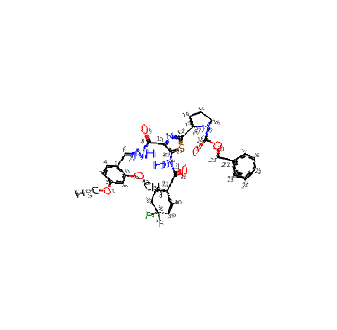 COc1ccc(CNC(=O)c2nc([C@H]3CCCN3C(=O)OCc3ccccc3)sc2NC(=O)C2CCC(F)(F)CC2)c(OC)c1